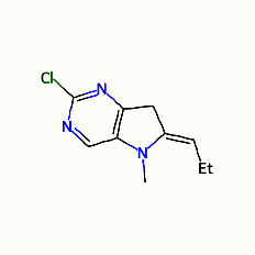 CCC=C1Cc2nc(Cl)ncc2N1C